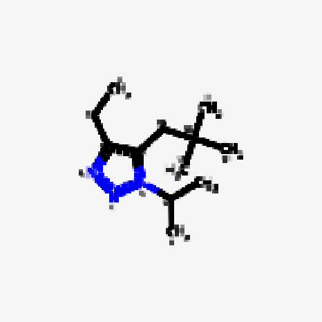 CCc1nnn(C(C)C)c1CC(C)(C)C